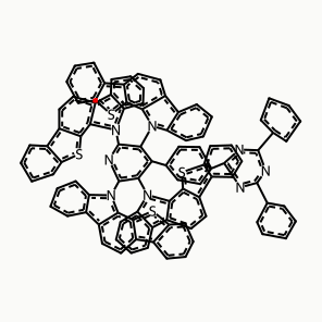 c1ccc(-c2nc(-c3ccccc3)nc(-c3ccc(-c4c(-n5c6ccccc6c6ccc7c8ccccc8sc7c65)c(-n5c6ccccc6c6ccc7c8ccccc8sc7c65)nc(-n5c6ccccc6c6ccc7c8ccccc8sc7c65)c4-n4c5ccccc5c5ccc6c7ccccc7sc6c54)cc3)n2)cc1